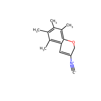 [C-]#[N+]C1=Cc2c(C)c(C)c(C)c(C)c2OC1